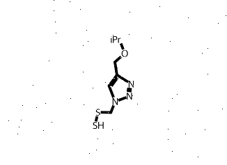 CC(C)OCc1cn(CSS)nn1